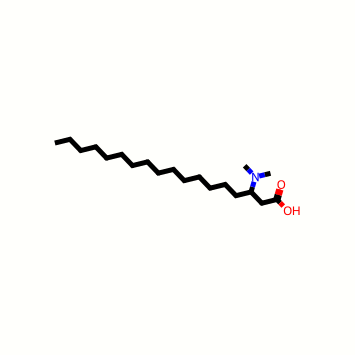 CCCCCCCCCCCCCCCC(CC(=O)O)N(C)C